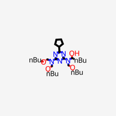 CCCCOCN(COCCCC)c1nc(C2CCCC2)nc(N(COCCCC)C(O)CCCC)n1